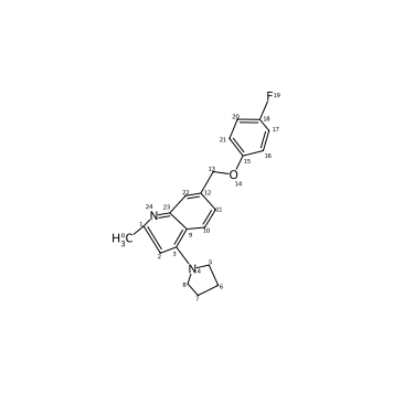 Cc1cc(N2CCCC2)c2ccc(COc3ccc(F)cc3)cc2n1